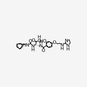 O=C(NCc1ccccc1)N[C@@H](CNC(=O)c1ccc(OCCNC2=NCCN2)cc1O)C(=O)O